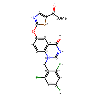 COC(=O)c1cnc(Oc2ccc3c(c2)c(=O)ncn3Cc2c(F)cc(F)cc2F)s1